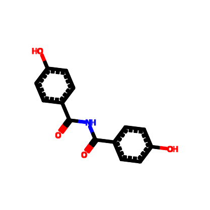 O=C(NC(=O)c1ccc(O)cc1)c1ccc(O)cc1